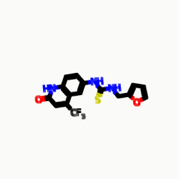 O=c1cc(C(F)(F)F)c2cc(NC(=S)NCc3ccco3)ccc2[nH]1